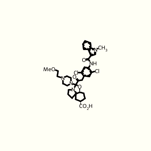 COCCN1CCN(C(O[C@H]2CC[C@H](C(=O)O)CC2)(C(=O)Cc2cc(Cl)c(NC(=O)c3cn(C)c4ccccc34)cc2Cl)N2CCCC2)CC1